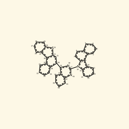 c1ccc2c(c1)ccc1c2c2ccccc2n1-c1nc(-c2cc3sc4ccccc4c3c3ccccc23)c2ccccc2n1